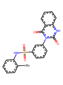 CCCCc1ccccc1NS(=O)(=O)c1cccc(-n2c(=O)[nH]c3ccccc3c2=O)c1